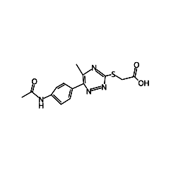 CC(=O)Nc1ccc(-c2nnc(SCC(=O)O)nc2C)cc1